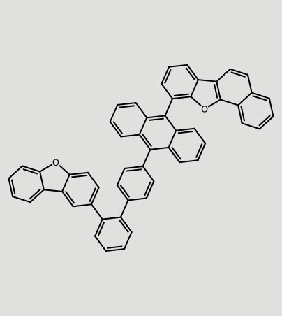 c1ccc(-c2ccc3oc4ccccc4c3c2)c(-c2ccc(-c3c4ccccc4c(-c4cccc5c4oc4c6ccccc6ccc54)c4ccccc34)cc2)c1